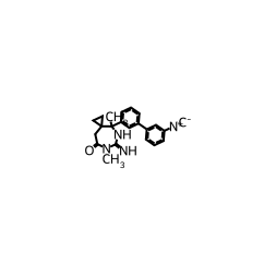 [C-]#[N+]c1cccc(-c2cccc(C3(C)NC(=N)N(C)C(=O)CC34CC4)c2)c1